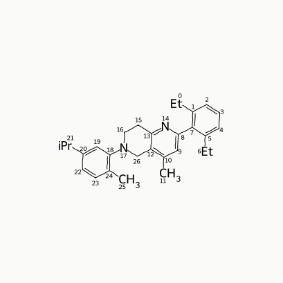 CCc1cccc(CC)c1-c1cc(C)c2c(n1)CCN(c1cc(C(C)C)ccc1C)C2